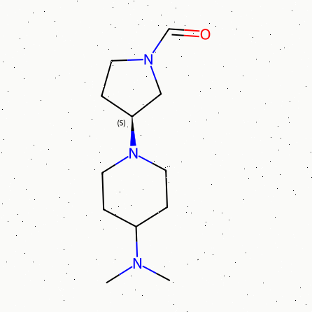 CN(C)C1CCN([C@H]2CCN(C=O)C2)CC1